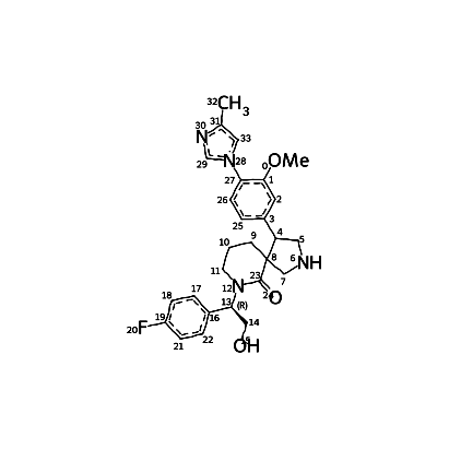 COc1cc(C2CNCC23CCCN([C@@H](CO)c2ccc(F)cc2)C3=O)ccc1-n1cnc(C)c1